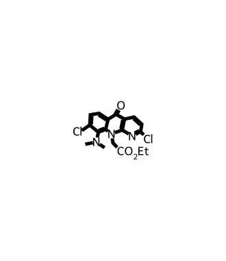 CCOC(=O)Cn1c2nc(Cl)ccc2c(=O)c2ccc(Cl)c(N(C)C)c21